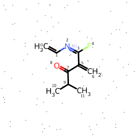 C=C/N=C(/F)C(=C)C(=O)C(C)C